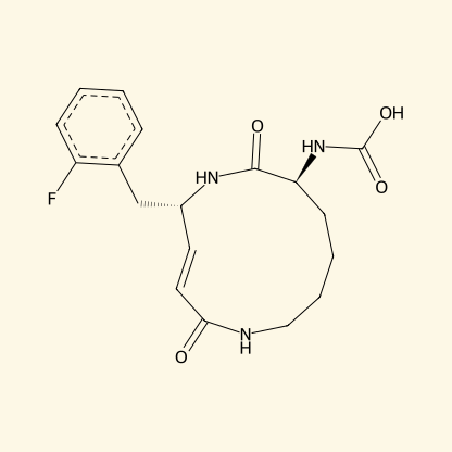 O=C(O)N[C@H]1CCCCNC(=O)/C=C/[C@H](Cc2ccccc2F)NC1=O